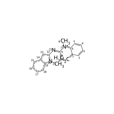 C=C1C=CC=C/C1=[N+](C)/C(C)=N/c1cc2ccccc2n1C